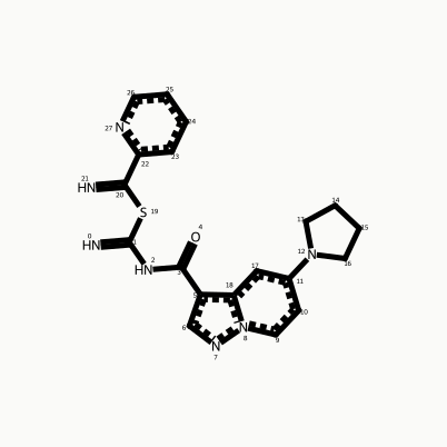 N=C(NC(=O)c1cnn2ccc(N3CCCC3)cc12)SC(=N)c1ccccn1